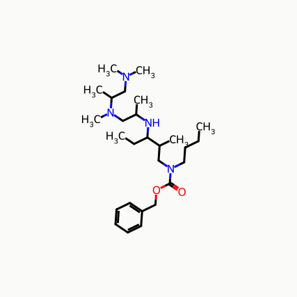 CCCCN(CC(C)C(CC)NC(C)CN(C)C(C)CN(C)C)C(=O)OCc1ccccc1